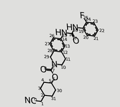 N#CCC1CCC(OC(=O)N2CCc3cc(NC(=O)Nc4ccccc4F)ccc3C2)CC1